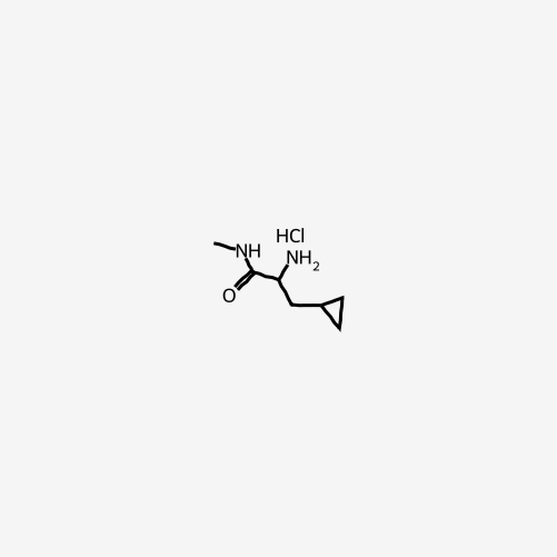 CNC(=O)C(N)CC1CC1.Cl